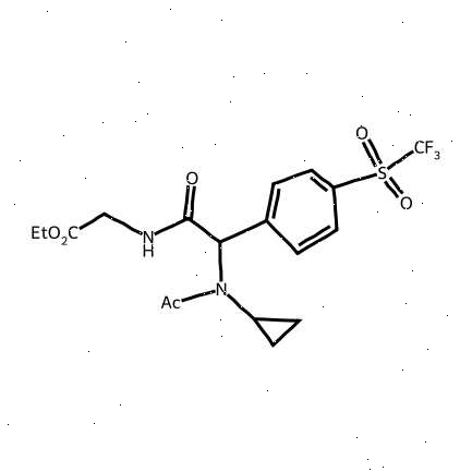 CCOC(=O)CNC(=O)C(c1ccc(S(=O)(=O)C(F)(F)F)cc1)N(C(C)=O)C1CC1